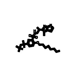 CCCCCCCCOc1ccc(C(C)(C)CC(C)(C)C)cc1S(=O)(=O)NCC(C)c1nn2nccc2n1C